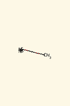 CCCCCCCCCCCCCCCCCCCCCCCCCC(SC#N)SC#N